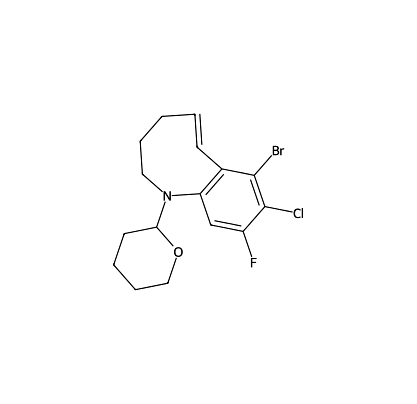 Fc1cc2c(c(Br)c1Cl)/C=C/CCCN2C1CCCCO1